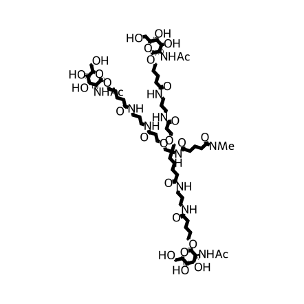 CNC(=O)CCCC(=O)NC(CCCCC(=O)NCCCNC(=O)CCCCO[C@@H]1OC(CO)[C@H](O)C(O)[C@@H]1NC(C)=O)(COCCC(=O)NCCCNC(=O)CCCCO[C@@H]1OC(CO)[C@H](O)C(O)[C@@H]1NC(C)=O)COCCC(=O)NCCCNC(=O)CCCCO[C@@H]1OC(CO)[C@H](O)C(O)[C@@H]1NC(C)=O